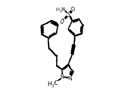 Cn1ncc(C#Cc2cccc(S(N)(=O)=O)c2)c1CCCc1ccccc1